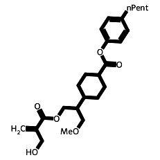 C=C(CO)C(=O)OCC(COC)C1CCC(C(=O)Oc2ccc(CCCCC)cc2)CC1